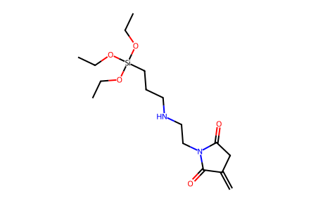 C=C1CC(=O)N(CCNCCC[Si](OCC)(OCC)OCC)C1=O